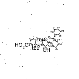 Cc1ccc(C(=O)O)c(C(C)(C)C)c1SC1=C(O)CC(CCc2ccccc2)(c2ccccc2)OC1=O